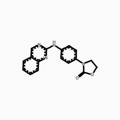 O=C1OCCN1c1ccc(Nc2ncc3ccccc3n2)cc1